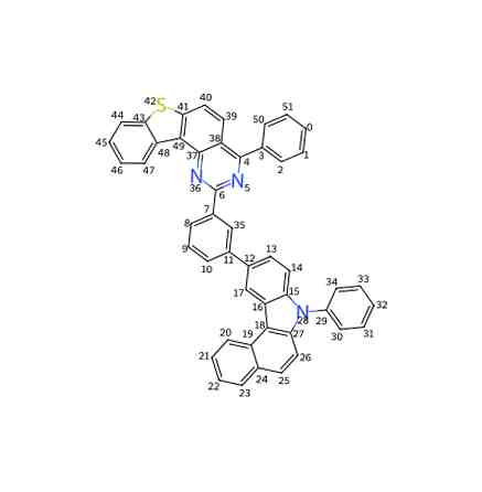 c1ccc(-c2nc(-c3cccc(-c4ccc5c(c4)c4c6ccccc6ccc4n5-c4ccccc4)c3)nc3c2ccc2sc4ccccc4c23)cc1